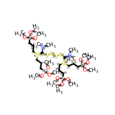 CO[Si](CCCS(CCC[Si](OC)(OC)OC)=C(SSSSC(N(C)C)=S(CCC[Si](OC)(OC)OC)CCC[Si](OC)(OC)OC)N(C)C)(OC)OC